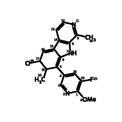 COc1ncc(C2=c3[nH]c4c(C)nccc4c3=CC(Cl)C2C)cc1F